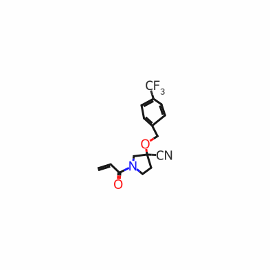 C=CC(=O)N1CCC(C#N)(OCc2ccc(C(F)(F)F)cc2)C1